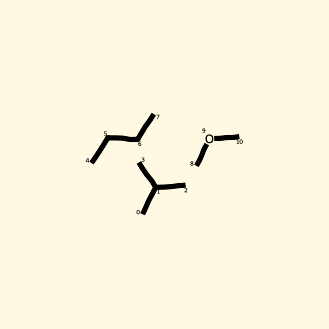 CC(C)C.CCCC.COC